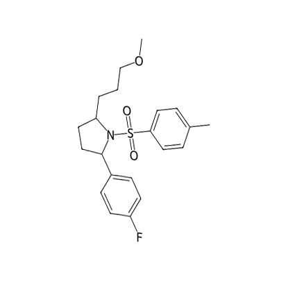 COCCCC1CCC(c2ccc(F)cc2)N1S(=O)(=O)c1ccc(C)cc1